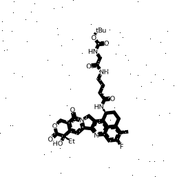 CC[C@@]1(O)C(=O)OCc2c1cc1n(c2=O)Cc2c-1nc1cc(F)c(C)c3c1c2[C@@H](NC(=O)CCCNC(=O)CNC(=O)OC(C)(C)C)CC3